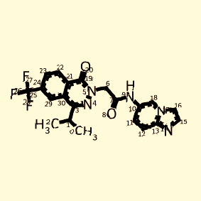 CC(C)c1nn(CC(=O)Nc2ccc3nccn3c2)c(=O)c2ccc(C(F)(F)F)cc12